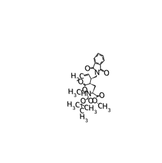 C=C[C@@H](CN1C(=O)c2ccccc2C1=O)[C@@H](C[C@H](NC(=O)OC(C)(C)C)C(=O)OC)C(=O)OC